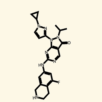 CC(C)n1c(=O)c2cnc(Nc3cc(F)c4c(c3)CNCC4)nc2n1-c1ccn(C2CC2)n1